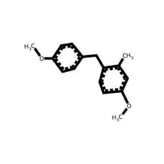 COc1ccc(Cc2ccc(OC)cc2C)cc1